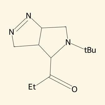 CCC(=O)C1C2CN=NC2CN1C(C)(C)C